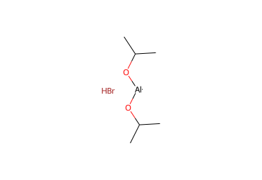 Br.CC(C)[O][Al][O]C(C)C